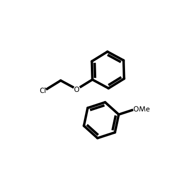 COc1ccccc1.ClCOc1ccccc1